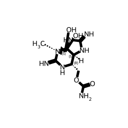 C[C@H]1CC(O)(O)C23NC(=N)N[C@H]2[C@H](COC(N)=O)NC(=N)N13